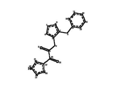 O=C(Cc1ccsc1Cc1ccccn1)C(=O)c1nn[nH]n1